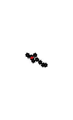 c1ccc(N(c2ccc(-c3ccc(-c4ccc5ccccc5c4)cc3)cc2)c2cccc3ccccc23)c(-c2ccc3oc4ccccc4c3c2)c1